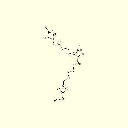 CCCOC1CN(CCCCCOC2CN(C)C2CCCOCC2CN(C)C2)C1